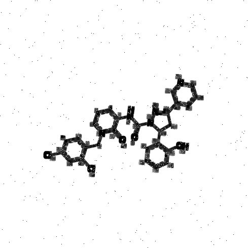 O=C(Nc1cccn(Cc2ccc(Cl)cc2Cl)c1=O)N1N=C(c2cccnc2)CC1c1ccccc1O